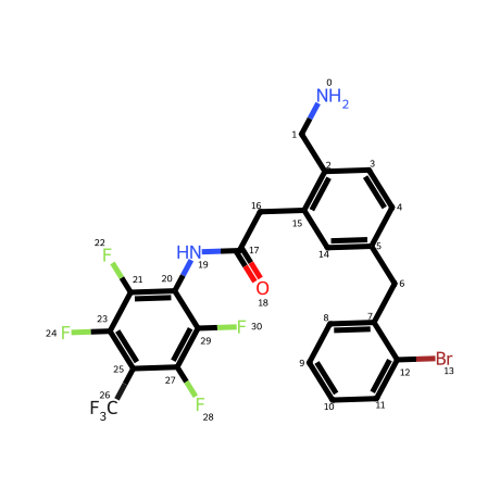 NCc1ccc(Cc2ccccc2Br)cc1CC(=O)Nc1c(F)c(F)c(C(F)(F)F)c(F)c1F